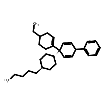 CCCCC[C@H]1CC[C@H](C2(C3=CCC(CC)CC3)C=CC(c3ccccc3)C=C2)CC1